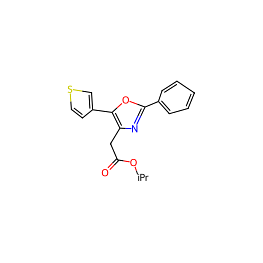 CC(C)OC(=O)Cc1nc(-c2ccccc2)oc1-c1ccsc1